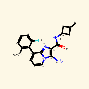 COc1cccc(F)c1-c1cccn2c(N)c(C(=O)NC3CC(C)C3)nc12